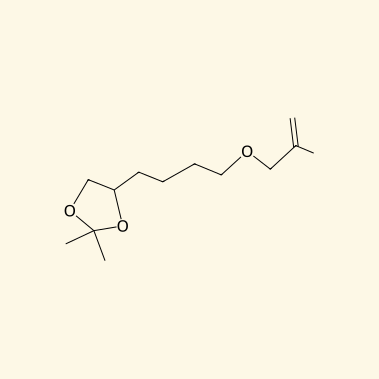 C=C(C)COCCCCC1COC(C)(C)O1